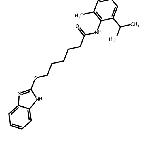 Cc1cccc(C(C)C)c1NC(=O)CCCCCSc1nc2ccccc2[nH]1